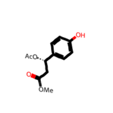 COC(=O)C[C@H](OC(C)=O)c1ccc(O)cc1